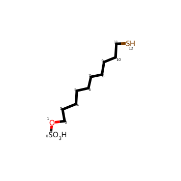 O=S(=O)(O)OCCCCCCCCCCS